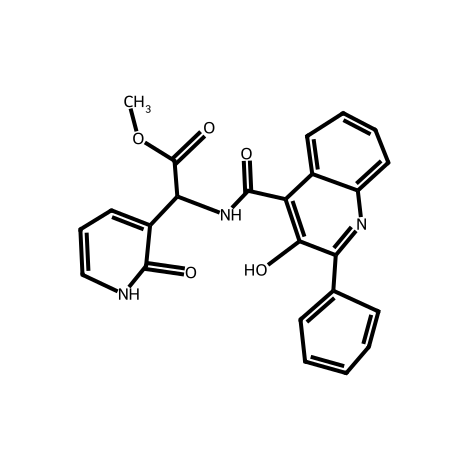 COC(=O)C(NC(=O)c1c(O)c(-c2ccccc2)nc2ccccc12)c1ccc[nH]c1=O